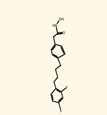 O=C(Cc1ccc(CCCCc2ccc(F)cc2F)cc1)NO